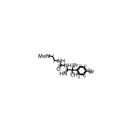 CNCCNC(=O)NC(=N)C(C)(c1ccc(Br)cc1)C(C)C